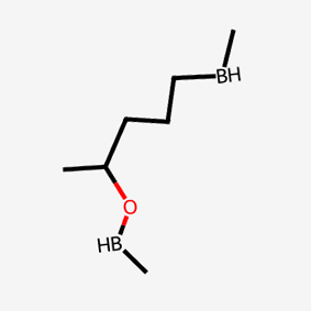 CBCCCC(C)OBC